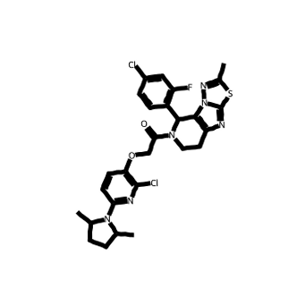 Cc1nn2c3c(nc2s1)CCN(C(=O)COc1ccc(N2C(C)CCC2C)nc1Cl)C3c1ccc(Cl)cc1F